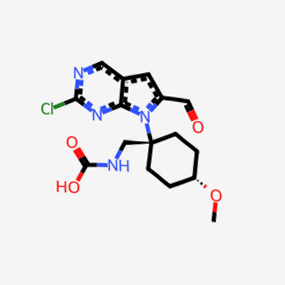 CO[C@H]1CC[C@@](CNC(=O)O)(n2c(C=O)cc3cnc(Cl)nc32)CC1